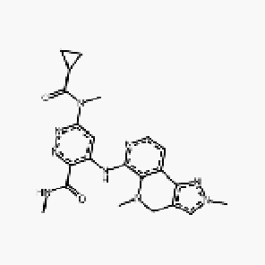 CNC(=O)c1nnc(N(C)C(=O)C2CC2)cc1Nc1nccc2c1N(C)Cc1cn(C)nc1-2